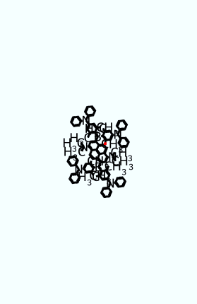 Cc1cc(N(c2ccccc2)c2ccccc2)cc(C)c1B(c1c(C)cc(N(c2ccccc2)c2ccccc2)cc1C)c1cc(N(C)C)c2ccc3c(B(c4c(C)cc(N(c5ccccc5)c5ccccc5)cc4C)c4c(C)cc(N(c5ccccc5)c5ccccc5)cc4C)cc(N(C)C)c4ccc1c2c34